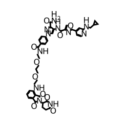 NC(=O)c1nn(-c2ccc(C(=O)NCCOCCCOCCNc3cccc4c3C(=O)N(C3CCC(=O)NC3=O)C4=O)cc2)cc1NC(=O)c1coc(-c2ccnc(NCC3CC3)c2)n1